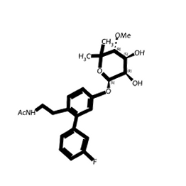 CO[C@@H]1[C@@H](O)[C@@H](O)[C@@H](Oc2ccc(CCNC(C)=O)c(-c3cccc(F)c3)c2)OC1(C)C